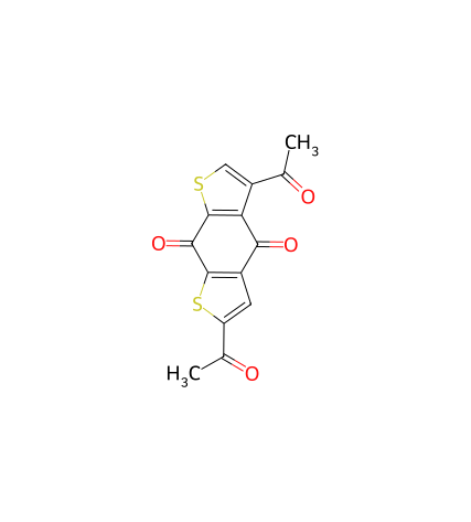 CC(=O)c1cc2c(s1)C(=O)c1scc(C(C)=O)c1C2=O